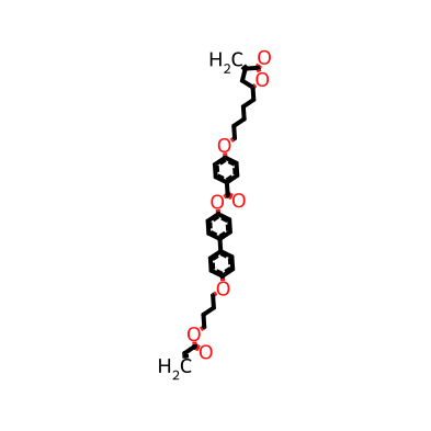 C=CC(=O)OCCCCOc1ccc(-c2ccc(OC(=O)c3ccc(OCCCCCC4CC(=C)C(=O)O4)cc3)cc2)cc1